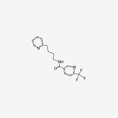 O=C(NCCCCc1ccccn1)c1ccc(C(F)(F)F)nc1